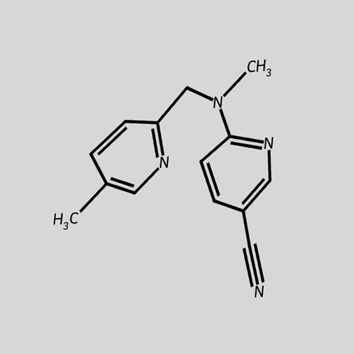 Cc1ccc(CN(C)c2ccc(C#N)cn2)nc1